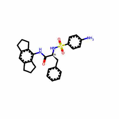 Nc1ccc(S(=O)(=O)N[C@@H](Cc2ccccc2)C(=O)Nc2c3c(cc4c2CCC4)CCC3)cc1